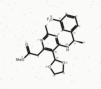 COC(=O)Cc1nc(C)nc(N[C@H](C)c2cccc(C(F)(F)F)c2)c1C1OCCO1